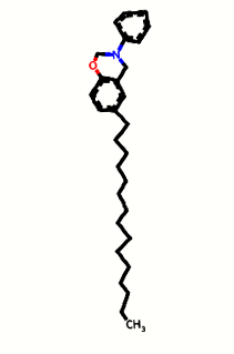 CCCCCCCCCCCCCCCc1ccc2c(c1)CN(c1ccccc1)CO2